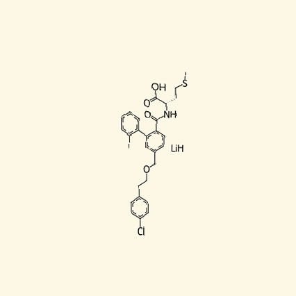 CSCC[C@H](NC(=O)c1ccc(COCCc2ccc(Cl)cc2)cc1-c1ccccc1C)C(=O)O.[LiH]